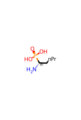 CCCC[C@H](N)P(=O)(O)O